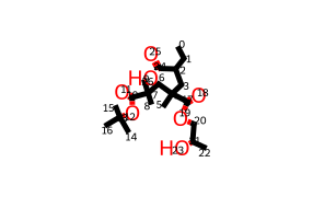 CCC(CC(C)(CC(C)(C)C(=O)OC(C)(C)C)C(=O)OCC(C)O)C(=O)O